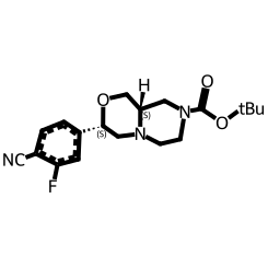 CC(C)(C)OC(=O)N1CCN2C[C@H](c3ccc(C#N)c(F)c3)OC[C@@H]2C1